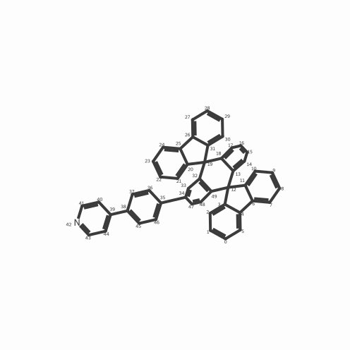 c1ccc2c(c1)-c1ccccc1C21c2ccccc2C2(c3ccccc3-c3ccccc32)c2cc(-c3ccc(-c4ccncc4)cc3)ccc21